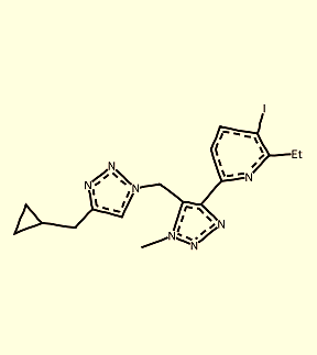 CCc1nc(-c2nnn(C)c2Cn2cc(CC3CC3)nn2)ccc1I